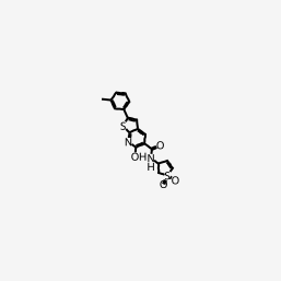 Cc1cccc(-c2cc3cc(C(=O)NC4C=CS(=O)(=O)C4)c(O)nc3s2)c1